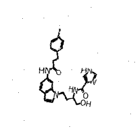 Cc1ccc(CCC(=O)Nc2ccc3ccn(CC[C@H](CO)NC(=O)c4c[nH]cn4)c3c2)cc1